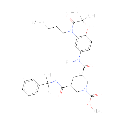 CCN(C(=O)[C@@H]1C[C@H](C(=O)NC(C)(C)c2ccccc2)CN(C(=O)OC(C)(C)C)C1)c1ccc2c(c1)N(CCCOC)C(=O)C(C)(C)O2